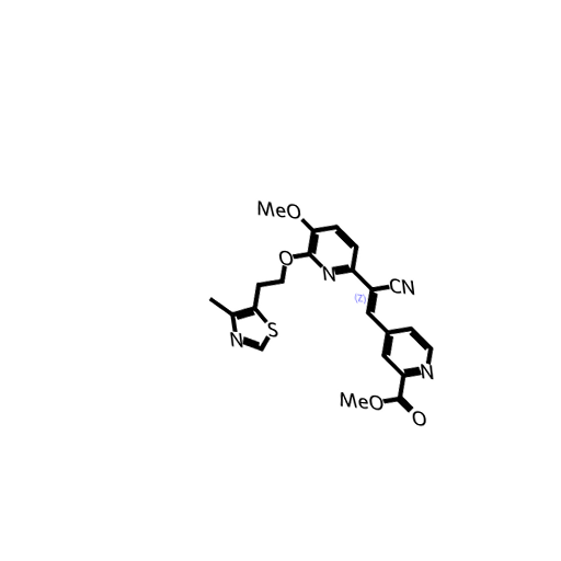 COC(=O)c1cc(/C=C(\C#N)c2ccc(OC)c(OCCc3scnc3C)n2)ccn1